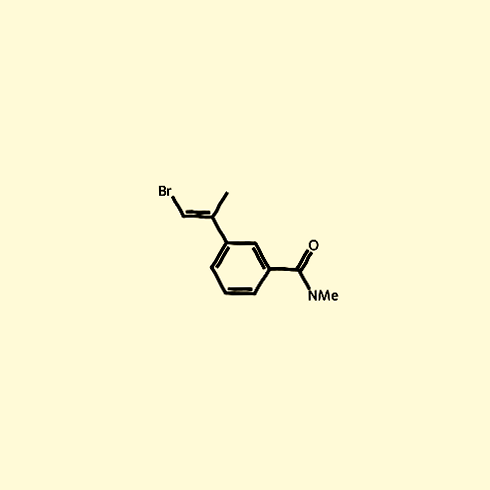 CNC(=O)c1cccc(C(C)=CBr)c1